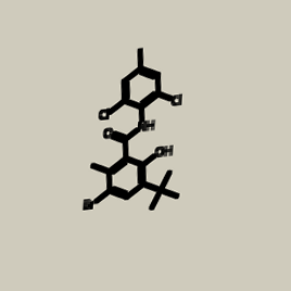 Cc1cc(Cl)c(NC(=O)c2c(C)c(Br)cc(C(C)(C)C)c2O)c(Cl)c1